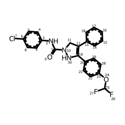 O=C(Nc1ccc(Cl)cc1)N1CC(c2ccccc2)=C(c2ccc(OC(F)F)cc2)N1